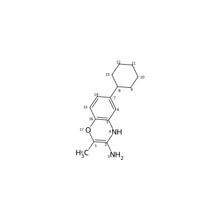 CC1=C(N)Nc2cc(C3CCCCC3)ccc2O1